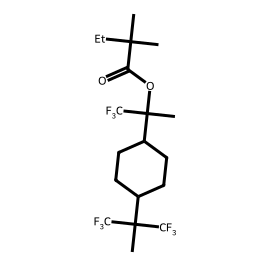 CCC(C)(C)C(=O)OC(C)(C1CCC(C(C)(C(F)(F)F)C(F)(F)F)CC1)C(F)(F)F